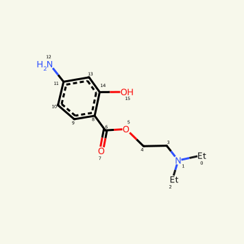 CCN(CC)CCOC(=O)c1ccc(N)cc1O